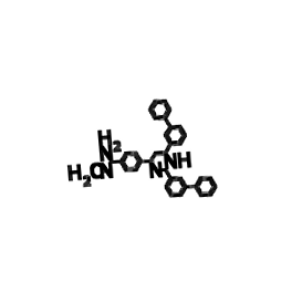 C=NC(N)c1ccc(C2=NC(c3cccc(-c4ccccc4)c3)NC(c3cccc(-c4ccccc4)c3)=C2)cc1